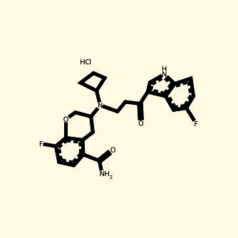 Cl.NC(=O)c1ccc(F)c2c1CC(N(CCC(=O)c1c[nH]c3ccc(F)cc13)C1CCC1)CO2